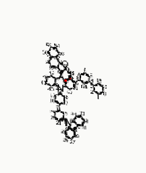 c1ccc(-c2cccc(-c3ccc(N(c4ccc(-c5cccc(-n6c7ccccc7c7ccccc76)c5)cc4)c4ccccc4-c4cccc5oc6c7ccccc7ccc6c45)cc3)c2)cc1